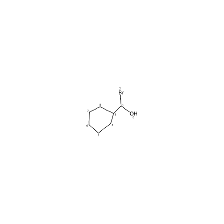 OC(Br)C1CCCCC1